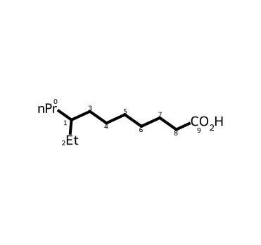 CCCC(CC)CCCCCCC(=O)O